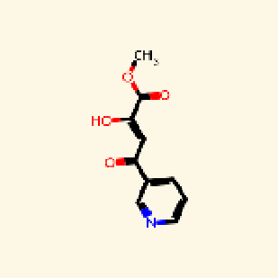 COC(=O)C(O)=CC(=O)c1cccnc1